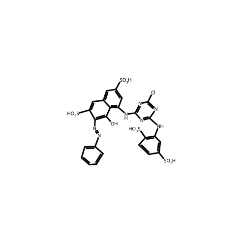 O=S(=O)(O)c1ccc(S(=O)(=O)O)c(Nc2nc(Cl)nc(Nc3cc(S(=O)(=O)O)cc4cc(S(=O)(=O)O)c(/N=N/c5ccccc5)c(O)c34)n2)c1